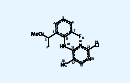 COC(C)c1cccc(F)c1Nc1nc(Cl)ncc1C#N